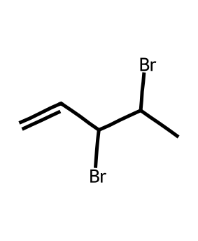 C=CC(Br)C(C)Br